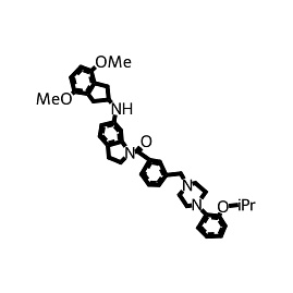 COc1ccc(OC)c2c1CC(Nc1ccc3c(c1)N(C(=O)c1cccc(CN4CCN(c5ccccc5OC(C)C)CC4)c1)CC3)C2